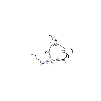 C/C=C1\CC2CC(=O)OC(/C=C/C=C\CCCC)[C@@H](C)/C=C/[C@H](C)C[C@H]3CCCC(C[C@@H](C1)O2)O3